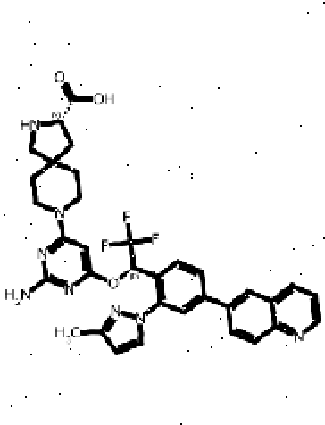 Cc1ccn(-c2cc(-c3ccc4ncccc4c3)ccc2[C@@H](Oc2cc(N3CCC4(CC3)CN[C@H](C(=O)O)C4)nc(N)n2)C(F)(F)F)n1